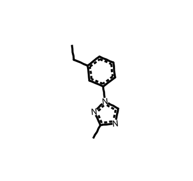 CCc1cccc(-n2cnc(C)n2)c1